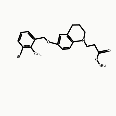 Cc1c(Br)cccc1COc1ccc2c(c1)CCCN2CCC(=O)OC(C)(C)C